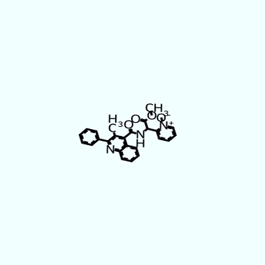 COC(=O)C(NC(=O)c1c(C)c(-c2ccccc2)nc2ccccc12)c1cccc[n+]1[O-]